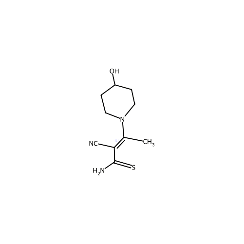 C/C(=C(/C#N)C(N)=S)N1CCC(O)CC1